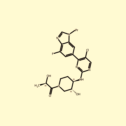 CC(C)n1cnc2c(F)cc(-c3nc(N[C@@H]4CCN(C(=O)[C@@H](C)O)C[C@H]4O)ncc3Cl)cc21